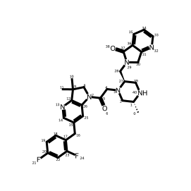 C[C@@H]1CN(CC(=O)N2CC(C)(C)c3ncc(Cc4ccc(F)cc4F)cc32)[C@@H](CN2Cc3ncccc3C2=O)CN1